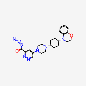 [N-]=[N+]=NC(=O)c1cc(N2CCN([C@H]3CC[C@@H](N4CCOc5ccccc54)CC3)CC2)cnn1